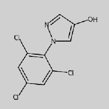 Oc1cnn(-c2c(Cl)cc(Cl)cc2Cl)c1